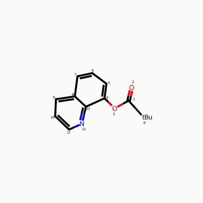 CC(C)(C)C(=O)Oc1cccc2cccnc12